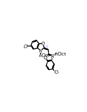 CCCCCCCCN1/C(=C\c2oc3ccc(Cl)cc3[n+]2CCCCCCCC)Oc2ccc(Cl)cc21